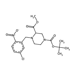 COC(=O)C1CN(C(=O)OC(C)(C)C)CCN1Cc1cc(Cl)ccc1[N+](=O)[O-]